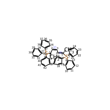 C=C(/C=C\C=C(/C)S(c1ccccc1)(c1ccccc1)c1ccccc1)S(c1ccccc1)(c1ccccc1)c1ccccc1